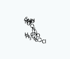 CC1CN(c2ccc(S(=O)(=O)Nc3nccs3)cc2)CCN1C(=O)C(C)n1ccc2cc(Cl)ccc21